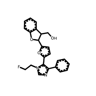 OCC1c2ccccc2OC1c1ccc(-c2c(-c3ccccc3)ncn2CCF)o1